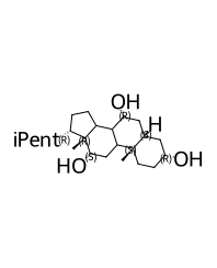 CCC[C@@H](C)C1CCC2C3C(C[C@H](O)[C@@]21C)[C@@]1(C)CC[C@@H](O)C[C@H]1C[C@H]3O